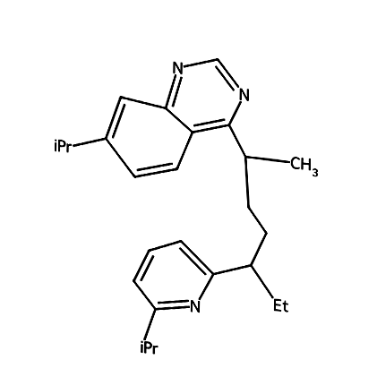 CCC(CCC(C)c1ncnc2cc(C(C)C)ccc12)c1cccc(C(C)C)n1